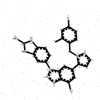 Cc1cc(F)ccc1Cn1nccc1-c1cc(Cl)c2nnn(-c3ccc4c(c3)NC(O)N4)c2c1